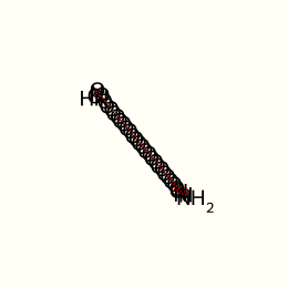 CCOCc1nc2c(N)nc3ccccc3c2n1CC(C)(C)OCCOCCOCCOCCOCCOCCOCCOCCOCCOCCOCCOCCOCCOCCOCCOCCOCCOCCOCCOCCOCCOCCOCCOCCNC(=O)CCN1C(=O)C=C(C)C1=O